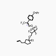 C=CCC1CCC(CC)(OCC(F)C(F)(F)S(=O)(=O)O/N=C(\c2ccc(OC(C)C)cc2)C(F)(F)F)C1